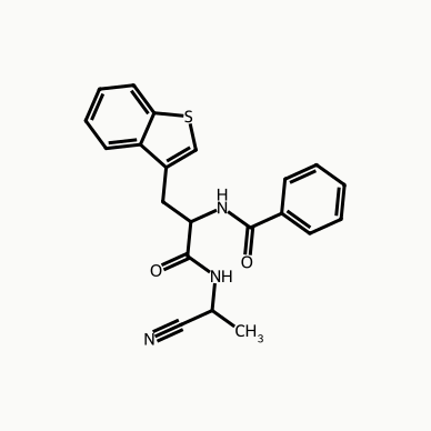 CC(C#N)NC(=O)C(Cc1csc2ccccc12)NC(=O)c1ccccc1